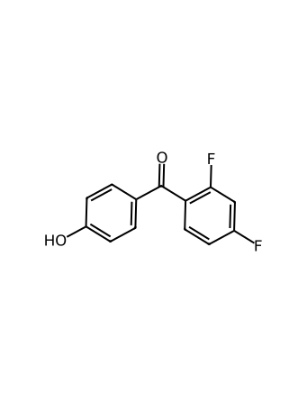 O=C(c1ccc(O)cc1)c1ccc(F)cc1F